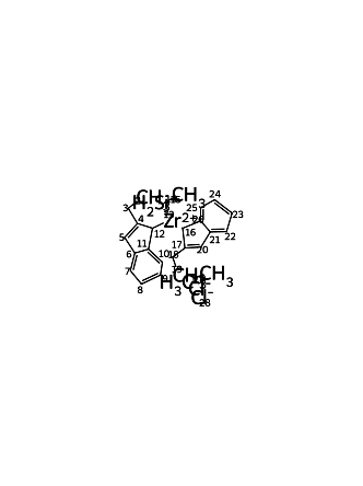 CC.CCC1=Cc2ccccc2[CH]1[Zr+2]([SiH2]C)[CH]1C(CC)=Cc2ccccc21.[Cl-].[Cl-]